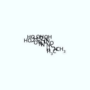 CN(C)CCC(=O)Nc1nn(O)c2c(=O)n(C3OC(CO)C(O)C3O)nnc12